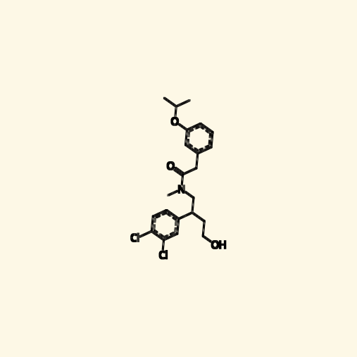 CC(C)Oc1cccc(CC(=O)N(C)CC(CCO)c2ccc(Cl)c(Cl)c2)c1